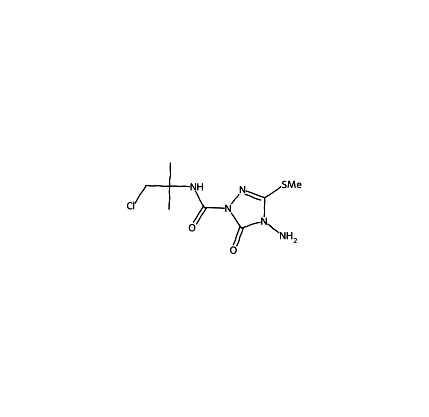 CSc1nn(C(=O)NC(C)(C)CCl)c(=O)n1N